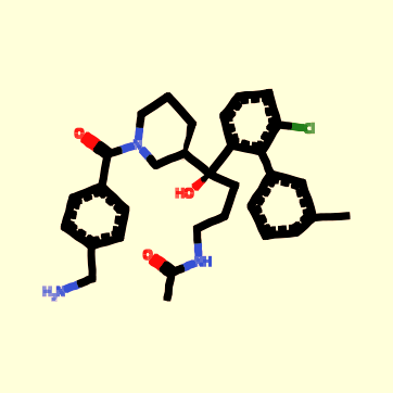 CC(=O)NCCC[C@@](O)(c1cccc(Cl)c1-c1cccc(C)c1)[C@@H]1CCCN(C(=O)c2ccc(CN)cc2)C1